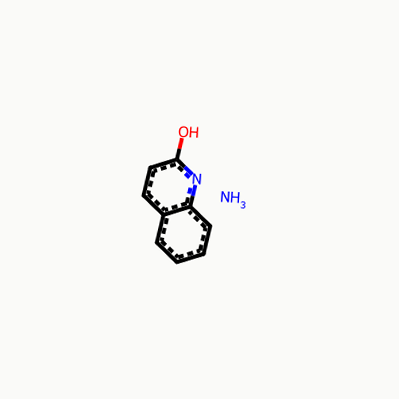 N.Oc1ccc2ccccc2n1